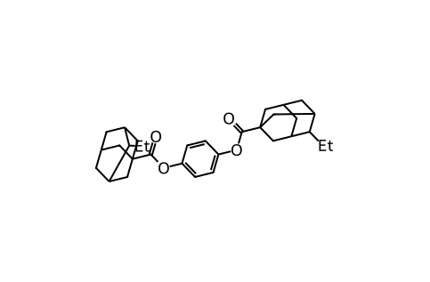 CCC1C2CC3CC1CC(C(=O)Oc1ccc(OC(=O)C45CC6CC(C4)C(CC)C(C6)C5)cc1)(C3)C2